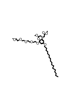 CCCCCCCCCCCCCCCCCCOc1cc(OCCOCCOCCOCCOC)cc(N(CC(=O)OC)CC(=O)OC)c1